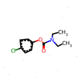 CCN(CC)C(=O)Oc1ccc(Cl)cc1